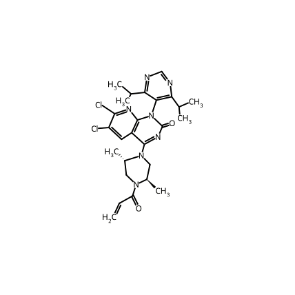 C=CC(=O)N1C[C@H](C)N(c2nc(=O)n(-c3c(C(C)C)ncnc3C(C)C)c3nc(Cl)c(Cl)cc23)C[C@H]1C